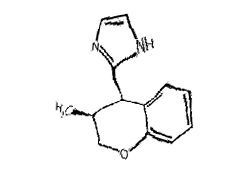 C[C@@H]1COc2ccccc2[C@@H]1c1ncc[nH]1